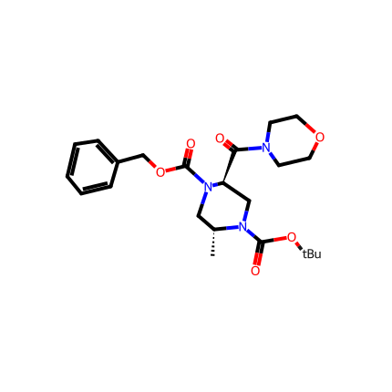 C[C@@H]1CN(C(=O)OCc2ccccc2)[C@@H](C(=O)N2CCOCC2)CN1C(=O)OC(C)(C)C